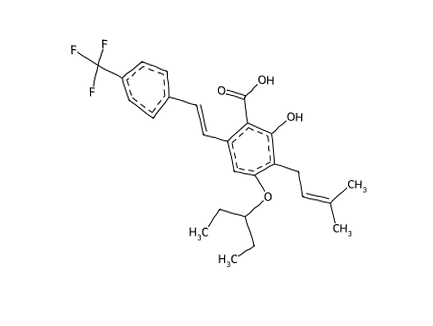 CCC(CC)Oc1cc(C=Cc2ccc(C(F)(F)F)cc2)c(C(=O)O)c(O)c1CC=C(C)C